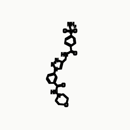 NS(=O)(=O)c1ccc(C(=O)NCc2cn(-c3cccc(C(=O)NN4CCOCC4)c3)nn2)cc1